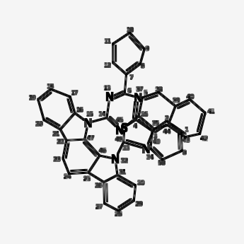 c1ccc(-c2nc(-c3ccccc3)nc(-n3c4ccccc4c4ccc5c6ccccc6n(-c6nc7c(ccc8ccccc87)s6)c5c43)n2)cc1